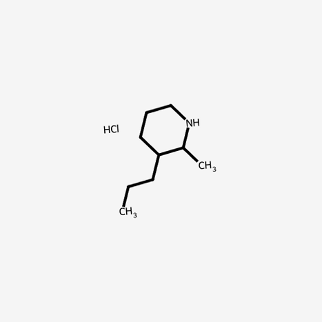 CCCC1CCCNC1C.Cl